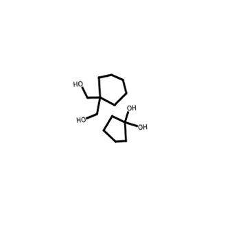 OC1(O)CCCC1.OCC1(CO)CCCCC1